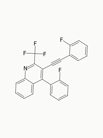 Fc1ccccc1C#Cc1c(C(F)(F)F)nc2ccccc2c1-c1ccccc1F